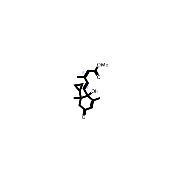 COC(=O)/C=C(C)\C=C\C1(O)C(C)=CC(=O)CC1(C)C1CC1